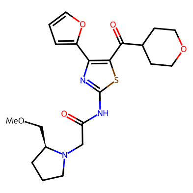 COC[C@@H]1CCCN1CC(=O)Nc1nc(-c2ccco2)c(C(=O)C2CCOCC2)s1